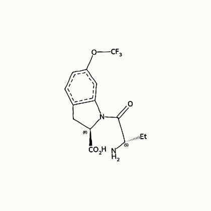 CC[C@H](N)C(=O)N1c2cc(OC(F)(F)F)ccc2C[C@@H]1C(=O)O